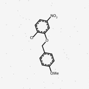 COc1ccc(COc2cc([N+](=O)[O-])ccc2Cl)cc1